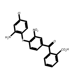 Nc1cc(Cl)ccc1Sc1ccc(C(=O)c2ccccc2C(=O)O)cc1[N+](=O)[O-]